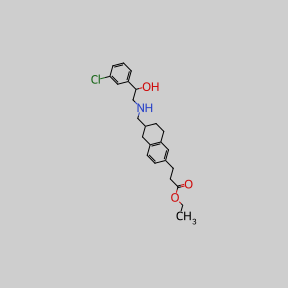 CCOC(=O)CCc1ccc2c(c1)CCC(CNCC(O)c1cccc(Cl)c1)C2